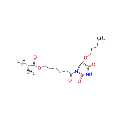 C=C(C)C(=O)OCCCCCC(=O)n1cc(OCCCC)c(=O)[nH]c1=O